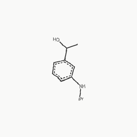 CC(C)Nc1cccc(C(C)O)c1